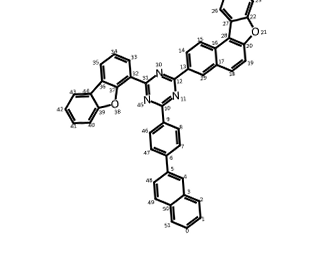 c1ccc2cc(-c3ccc(-c4nc(-c5ccc6c(ccc7oc8ccccc8c76)c5)nc(-c5cccc6c5oc5ccccc56)n4)cc3)ccc2c1